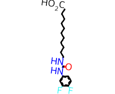 O=C(O)CCCCCCCCCCCNC(=O)Nc1ccc(F)c(F)c1